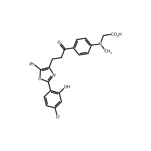 CC(C)c1oc(-c2ccc(Cl)cc2O)nc1CCC(=O)c1ccc(N(C)CC(=O)O)cc1